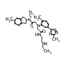 CCNCCNC(=O)CN(CC(=O)N(C)C1Cc2ccc(C)cc2C1)c1cc(-c2noc(C)n2)ccc1C